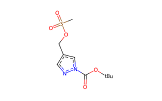 CC(C)(C)OC(=O)n1cc(COS(C)(=O)=O)cn1